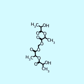 CC(O)C(=O)OC(C)C(=O)OCOC(=O)C(C)OC(=O)C(C)O